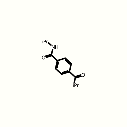 CC(C)NC(=O)c1ccc(C(=O)C(C)C)cc1